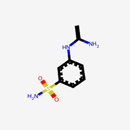 C=C(N)Nc1cccc(S(N)(=O)=O)c1